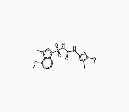 COc1sc(NC(=O)NS(=O)(=O)c2cn(C)c3c(OC)cccc23)nc1C